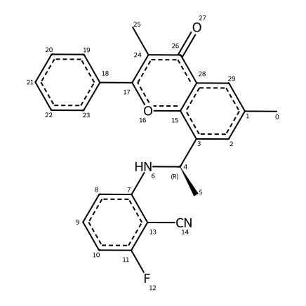 Cc1cc([C@@H](C)Nc2cccc(F)c2C#N)c2oc(-c3ccccc3)c(C)c(=O)c2c1